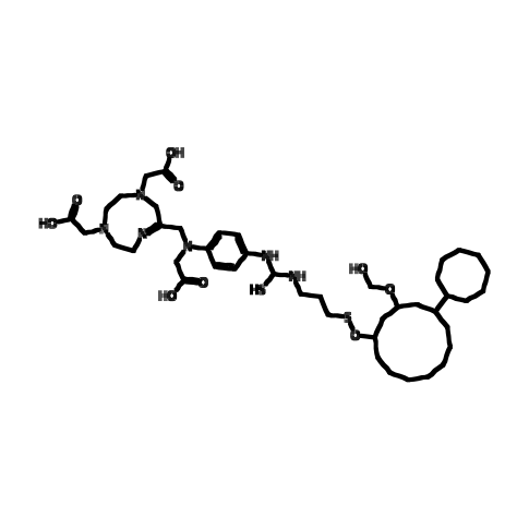 O=C(O)CN1CC/N=C(\CN(CC(=O)O)c2ccc(NC(S)NCCCSOC3CCCCCCCC(C4CCCCCCC4)CC(OCO)C3)cc2)CN(CC(=O)O)CC1